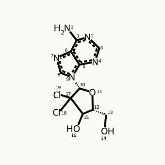 Nc1ncnc2c1ncn2[C@@H]1O[C@H](CO)C(O)C1(Cl)Cl